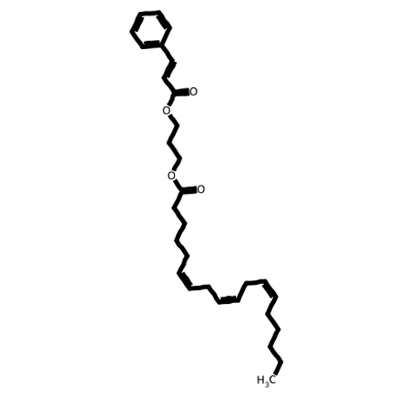 CCCCC/C=C\C/C=C\C/C=C\CCCCC(=O)OCCCOC(=O)/C=C/c1ccccc1